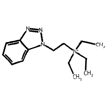 CC[N+](CC)(CC)CCn1nnc2ccccc21